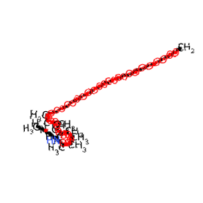 C=CCOCCOCCOCCOCCOCCOCCOCCOCCOCCOCCOCCOCCOCCOCCOCCOCCOCCOCCOCCOCCOCCOCCOCC(C)OCC(C)OCC(C)OCC(C)OCC(C)OCC(C)OCC(C)OCC(C)OCC(C)OCC(C)OCCNCCCCCCCCCCCC